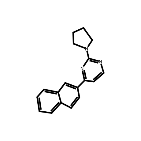 c1ccc2cc(-c3ccnc(N4CCCC4)n3)ccc2c1